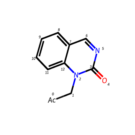 CC(=O)Cn1c(=O)ncc2ccccc21